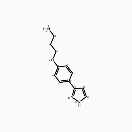 NCCCOc1ccc(-c2cc[nH]n2)cc1